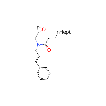 CCCCCCC/C=C/C(=O)N(C/C=C/c1ccccc1)CC1CO1